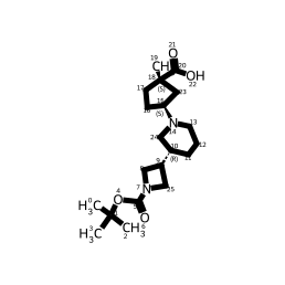 CC(C)(C)OC(=O)N1CC([C@H]2CCCN([C@H]3CC[C@](C)(C(=O)O)C3)C2)C1